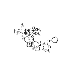 C[C@H](SC(=O)Oc1ccccc1)C1=CC[C@H]2C3=CC=C4C[C@@H](O[Si](C)(C)C(C)(C)C)C[C@H](O[Si](C)(C)C(C)(C)C)[C@]4(C)[C@H]3CC[C@]12C